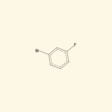 Fc1[c]ccc(Br)c1